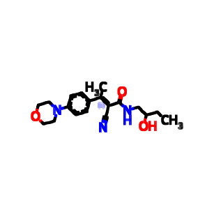 CCC(O)CNC(=O)/C(C#N)=C(\C)c1ccc(N2CCOCC2)cc1